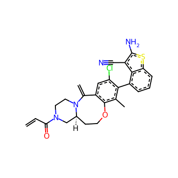 C=CC(=O)N1CCN2C(=C)c3cc(Cl)c(-c4cccc5sc(N)c(C#N)c45)c(C)c3OCC[C@H]2C1